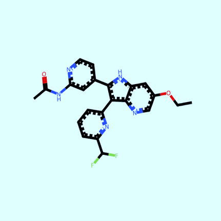 CCOc1cnc2c(-c3cccc(C(F)F)n3)c(-c3ccnc(NC(C)=O)c3)[nH]c2c1